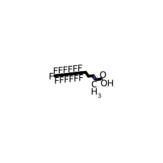 C/C(=C\CCC(F)(F)C(F)(F)C(F)(F)C(F)(F)C(F)(F)C(F)(F)F)C(=O)O